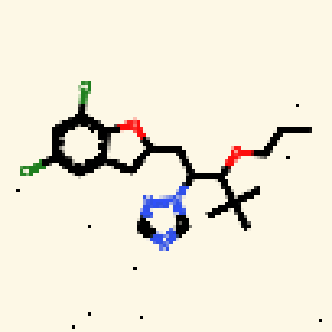 CCCOC(C(CC1Cc2cc(Cl)cc(Cl)c2O1)n1cncn1)C(C)(C)C